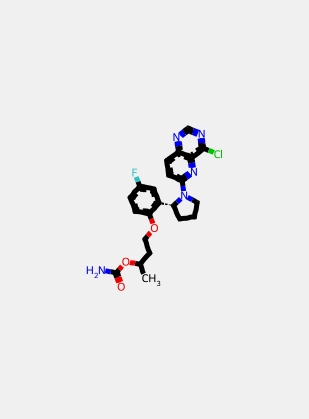 CC(CCOc1ccc(F)cc1[C@H]1CCCN1c1ccc2ncnc(Cl)c2n1)OC(N)=O